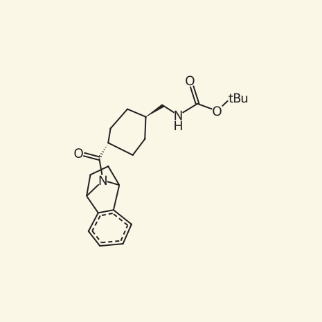 CC(C)(C)OC(=O)NC[C@H]1CC[C@H](C(=O)N2C3CCC2c2ccccc23)CC1